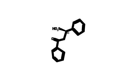 O=C(C[C@H](c1ccccc1)S(=O)(=O)O)c1ccccc1